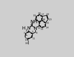 N=C(N)N(Cc1cccc(I)c1)c1ccc2c3c(cccc13)C=C2